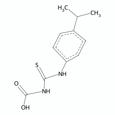 CC(C)c1ccc(NC(=S)NC(=O)O)cc1